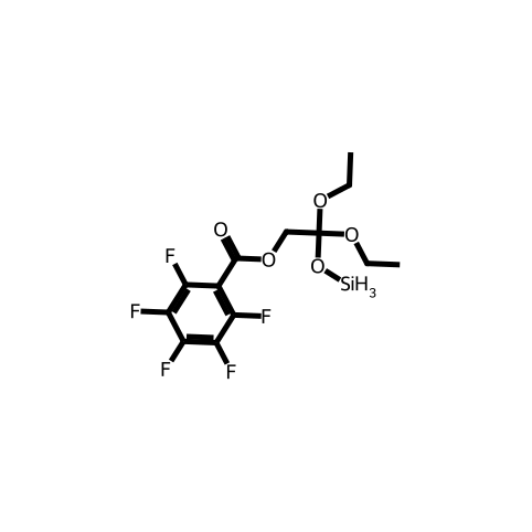 CCOC(COC(=O)c1c(F)c(F)c(F)c(F)c1F)(O[SiH3])OCC